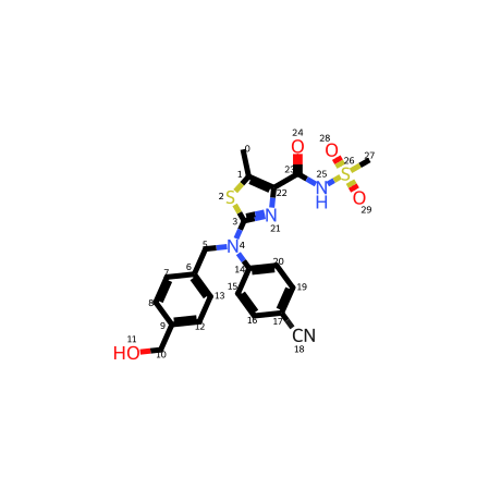 Cc1sc(N(Cc2ccc(CO)cc2)c2ccc(C#N)cc2)nc1C(=O)NS(C)(=O)=O